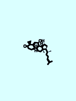 CC(C)=CCC[C@@H](C)[C@H]1CC[C@H]2[C@@H]3[C@H](O)C=C4C5(CC5)C(=O)CC[C@]4(C)[C@H]3CC[C@]12C